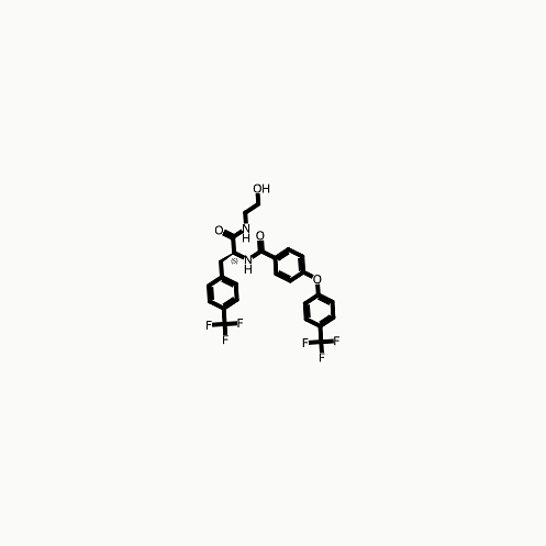 O=C(N[C@@H](Cc1ccc(C(F)(F)F)cc1)C(=O)NCCO)c1ccc(Oc2ccc(C(F)(F)F)cc2)cc1